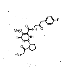 COc1c(C(=O)NCC(=O)Cc2ccc(F)cc2)[nH]c([C@H]2CCCN2C(=O)CC(C)(C)C)nc1=O